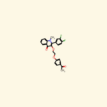 CC(=O)c1ccc(OCCOc2c(-c3ccc(F)c(F)c3)n(C)c3ccccc3c2=O)cc1